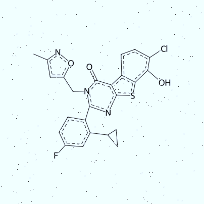 Cc1cc(Cn2c(-c3ccc(F)cc3C3CC3)nc3sc4c(O)c(Cl)ccc4c3c2=O)on1